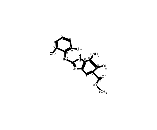 COC(=O)c1cc2nc(Nc3c(Cl)cccc3Cl)[nH]c2c(N)c1O